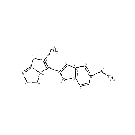 CSc1ccc2sc(C3=C(C)SC4=NCCN43)cc2c1